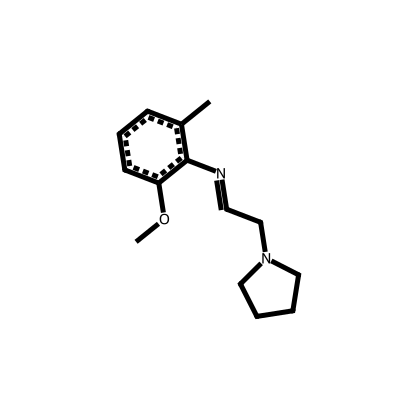 COc1cccc(C)c1N=CCN1CCCC1